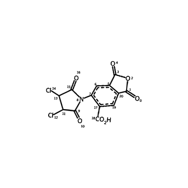 O=C1OC(=O)c2cc(N3C(=O)C(Cl)C(Cl)C3=O)c(C(=O)O)cc21